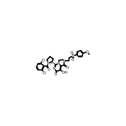 COc1ccc(S(=O)(=O)CCN2CCn3c([C@@H]4CCCN4C(=O)c4c(Cl)cccc4Cl)nc(=O)c(O)c3C2=O)cc1